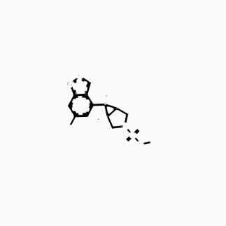 CNS(=O)(=O)N1C[C@@H]2[C@H](C1)[C@]2(O)c1cc(Cl)cc2[nH]ncc12